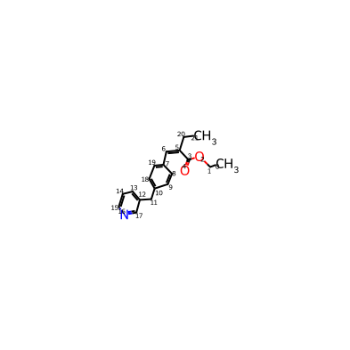 CCOC(=O)C(=Cc1ccc(Cc2cccnc2)cc1)CC